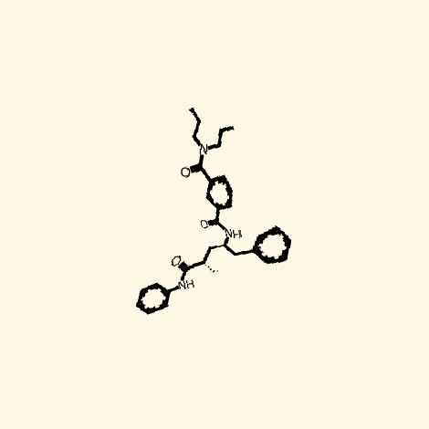 [CH2][C@@H](C[C@H](Cc1ccccc1)NC(=O)c1cccc(C(=O)N(CCC)CCC)c1)C(=O)Nc1ccccc1